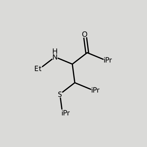 CCNC(C(=O)C(C)C)C(SC(C)C)C(C)C